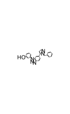 Oc1cccc(-n2nnc3ccc(-c4ccnn4Cc4ccccc4)cc32)c1